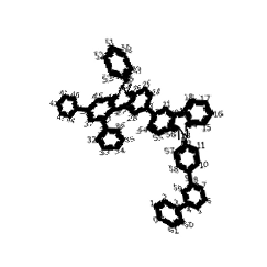 c1ccc(-c2cccc(-c3ccc(-n4c5ccccc5c5cc(-c6ccc7c(c6)c6c(-c8ccccc8)cc(-c8ccccc8)cc6n7-c6ccccc6)ccc54)cc3)c2)cc1